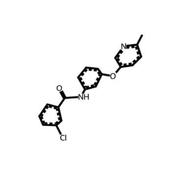 Cc1ccc(Oc2cccc(NC(=O)c3cccc(Cl)c3)c2)cn1